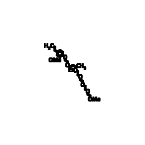 C=CCc1ccc(OCCOC(CC)CC(C)OCCOCCOCCOCCOC)c(OC)c1